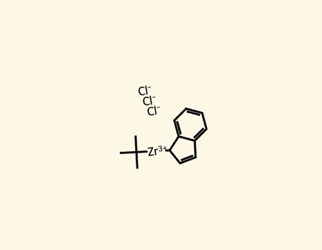 C[C](C)(C)[Zr+3][CH]1C=Cc2ccccc21.[Cl-].[Cl-].[Cl-]